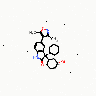 Cc1noc(C)c1-c1ccc2c(c1)C(C1CCCCC1)(C1CCC[C@@H](O)C1)C(=O)N2